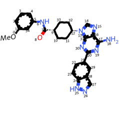 COc1cccc(NC(=O)[C@H]2CC[C@@H](n3cnc4c(N)nc(-c5ccc6[nH]ncc6c5)nc43)CC2)c1